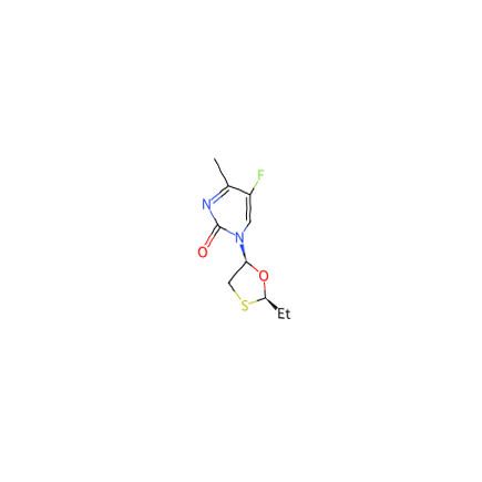 CC[C@@H]1O[C@H](n2cc(F)c(C)nc2=O)CS1